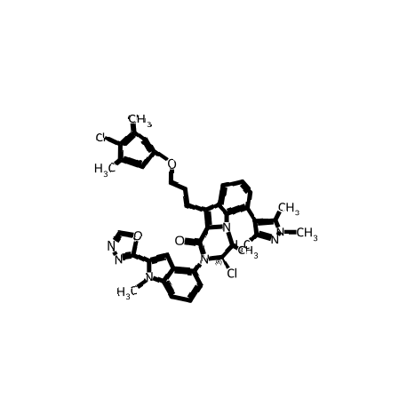 Cc1cc(OCCCc2c3n(c4c(-c5c(C)nn(C)c5C)cccc24)C(C)[C@@H](Cl)N(c2cccc4c2cc(-c2nnco2)n4C)C3=O)cc(C)c1Cl